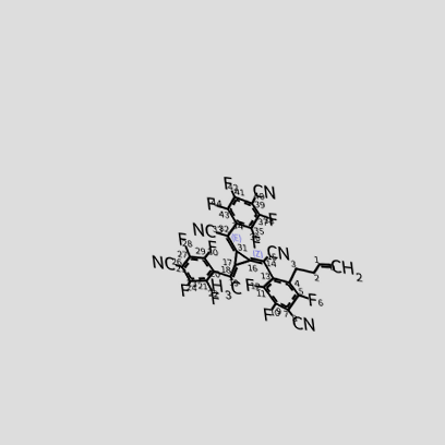 C=CCCc1c(F)c(C#N)c(F)c(F)c1/C(C#N)=C1\C(=C(C)c2c(F)c(F)c(C#N)c(F)c2F)\C1=C(/C#N)c1c(F)c(F)c(C#N)c(F)c1F